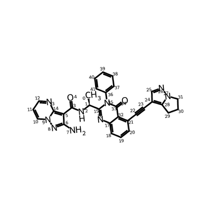 C[C@H](NC(=O)c1c(N)nn2cccnc12)c1nc2cccc(C#Cc3cnn4c3CCC4)c2c(=O)n1-c1ccccc1